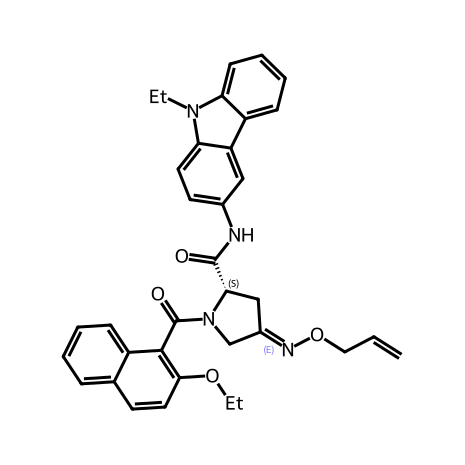 C=CCO/N=C1\C[C@@H](C(=O)Nc2ccc3c(c2)c2ccccc2n3CC)N(C(=O)c2c(OCC)ccc3ccccc23)C1